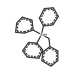 c1ccc(C[AsH](c2ccccc2)(c2ccccc2)c2ccccc2)cc1